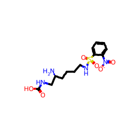 N[C@@H](CCCCNS(=O)(=O)c1ccccc1[N+](=O)[O-])CNC(=O)O